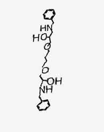 OC(CNCc1ccccc1)COCCCCOCC(O)CNCc1ccccc1